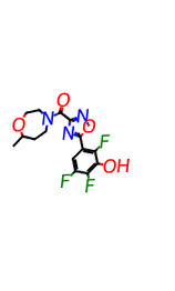 CC1CCN(C(=O)c2noc(-c3cc(F)c(F)c(O)c3F)n2)CCO1